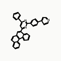 c1ccc(-c2cc(-c3cc4ccc5ccccc5c4c4ccccc34)nc(-c3ccc(-c4ccncc4)cc3)n2)cc1